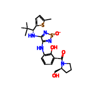 Cc1ccc([C@H](Nc2n[s+]([O-])nc2Nc2cccc(C(=O)N3CCC[C@H]3CO)c2O)C(C)(C)C)s1